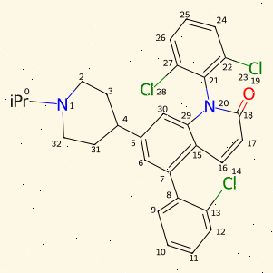 CC(C)N1CCC(c2cc(-c3ccccc3Cl)c3ccc(=O)n(-c4c(Cl)cccc4Cl)c3c2)CC1